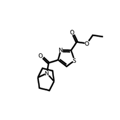 CCOC(=O)c1nc(C(=O)N2C3CCC2CC3)cs1